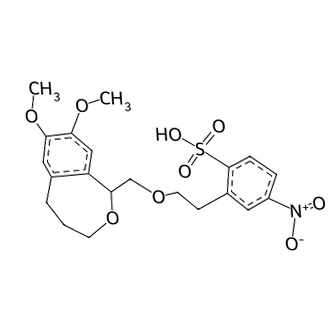 COc1cc2c(cc1OC)C(COCCc1cc([N+](=O)[O-])ccc1S(=O)(=O)O)OCCC2